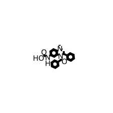 CC(c1ccccc1)N(C(=O)c1ccccc1)c1cc(NC(=O)O)ccc1N(C)C